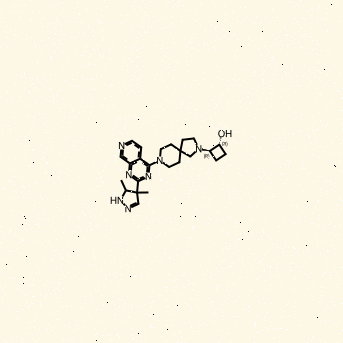 CC1NN=CC1(C)c1nc(N2CCC3(CC2)CCN([C@@H]2CC[C@H]2O)C3)c2ccncc2n1